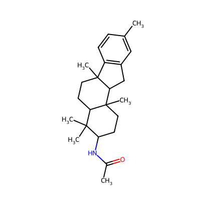 CC(=O)NC1CCC2(C)C3Cc4cc(C)ccc4C3(C)CCC2C1(C)C